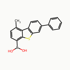 Cc1ccc(B(O)O)c2sc3cc(-c4ccccc4)ccc3c12